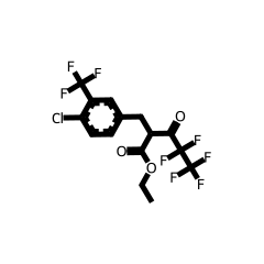 CCOC(=O)C(Cc1ccc(Cl)c(C(F)(F)F)c1)C(=O)C(F)(F)C(F)(F)F